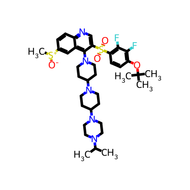 CC(C)N1CCN(C2CCN(C3CCN(c4c(S(=O)(=O)c5ccc(OC(C)(C)C)c(F)c5F)cnc5ccc([S+](C)[O-])cc45)CC3)CC2)CC1